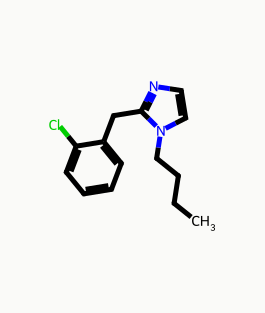 CCCCn1ccnc1Cc1ccccc1Cl